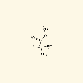 CCCOC(=O)C(C)(CC)CCC